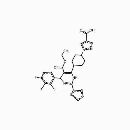 CCOC(=O)C1=C(C2CCC(n3cc(C(=O)O)cn3)CC2)NC(c2nccs2)=NC1c1ccc(F)c(F)c1Cl